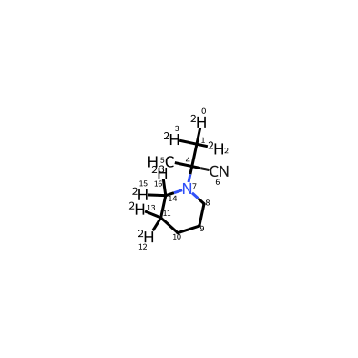 [2H]C([2H])([2H])C(C)(C#N)N1CCCC([2H])([2H])C1([2H])[2H]